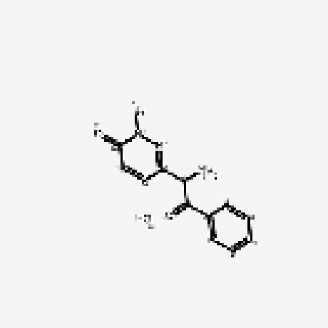 CC(C)n1nc(C(N)C(=O)c2ccccc2)ccc1=O.Cl